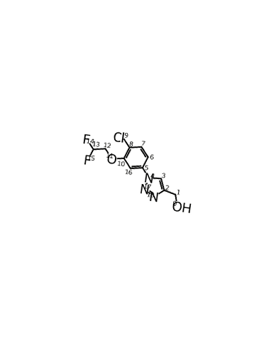 OCc1cn(-c2ccc(Cl)c(OCC(F)F)c2)nn1